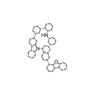 c1ccc(Nc2ccccc2-c2cccc(-c3ccc4c5ccccc5n(-c5cccc6cc(-c7cccc8c7oc7ccccc78)ccc56)c4c3)c2)cc1